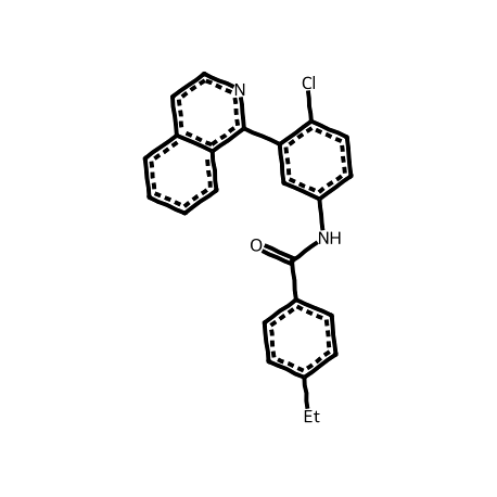 CCc1ccc(C(=O)Nc2ccc(Cl)c(-c3nccc4ccccc34)c2)cc1